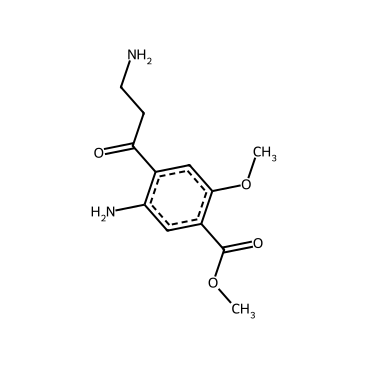 COC(=O)c1cc(N)c(C(=O)CCN)cc1OC